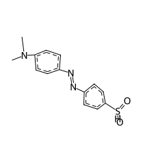 CN(C)c1ccc(/N=N/c2ccc([SH](=O)=O)cc2)cc1